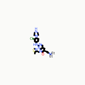 CCN(C#Cc1cc2cnc(Nc3ccc(N4CCNCC4)c(Cl)c3)nc2n(Cc2ncsc2C)c1=O)CC